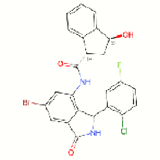 O=C1NC(c2cc(F)ccc2Cl)c2c(NC(=O)[C@H]3C[C@H](O)c4ccccc43)cc(Br)cc21